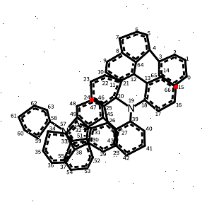 c1ccc(-c2cccc3cccc(-c4ccccc4N(c4ccccc4-c4cccc5c4sc4ccccc45)c4ccccc4-c4cccc5c4c4ccccc4n5-c4ccccc4)c23)cc1